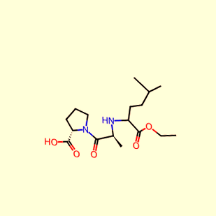 CCOC(=O)C(CCC(C)C)N[C@@H](C)C(=O)N1CCC[C@H]1C(=O)O